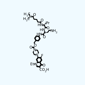 CCn1cc(C(=O)O)c(=O)c2cc(F)c(N3CCN(C(=O)OCc4ccc(NC(=O)[C@H](CCN)NC(=O)[C@@H](NC(=O)CCCC(=O)N(C)C)C(C)C)cc4)CC3)cc21